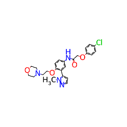 Cn1nccc1-c1cc(NC(=O)COc2ccc(Cl)cc2)ccc1OCCN1CCOCC1